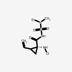 C=CC1C[C@]1(NCl)C(=O)NS(=O)(=O)N(C)CC